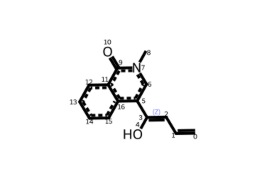 C=C/C=C(\O)c1cn(C)c(=O)c2ccccc12